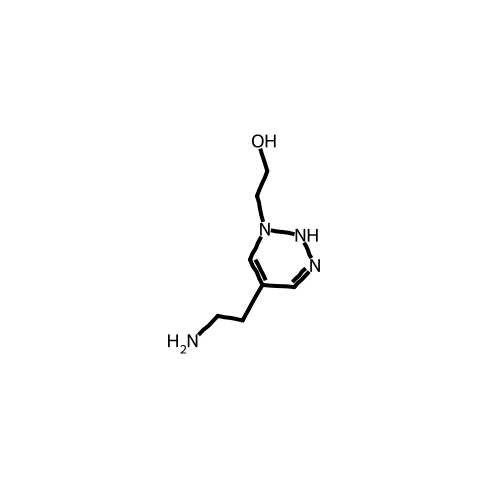 NCCC1=CN(CCO)NN=C1